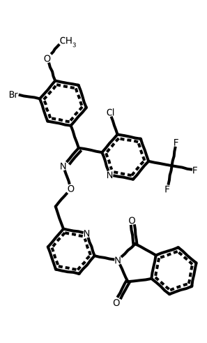 COc1ccc(C(=NOCc2cccc(N3C(=O)c4ccccc4C3=O)n2)c2ncc(C(F)(F)F)cc2Cl)cc1Br